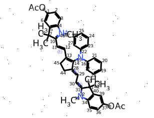 CC(=O)Oc1ccc2c(c1)C(C)(C)C(/C=C/C1=C(N(c3ccccc3)c3ccccc3)C(=C/C=C3/N(C)c4ccc(OC(C)=O)cc4C3(C)C)/CC1)=[N+]2C